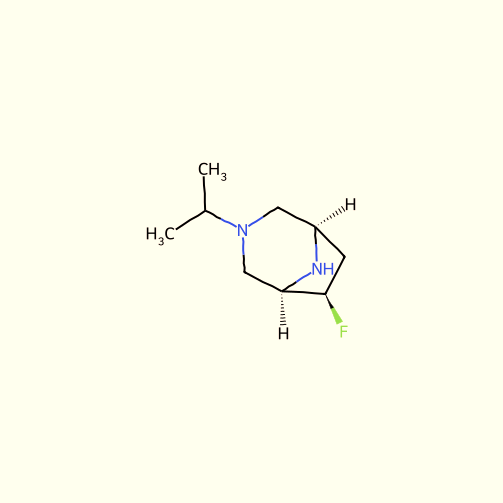 CC(C)N1C[C@H]2C[C@@H](F)[C@@H](C1)N2